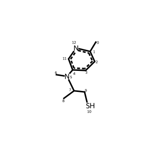 Cc1ccc(N(C)C(C)CS)cn1